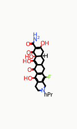 CCCN1CCc2c(O)c3c(c(F)c2C1)CC1C[C@H]2CC(O)=C(C(N)=O)C(=O)[C@@]2(O)C(O)=C1C3=O